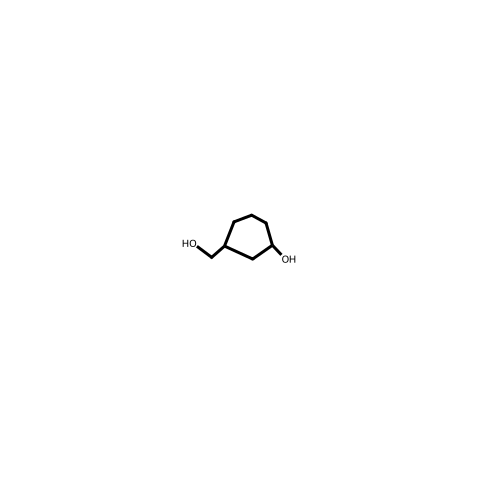 OCC1CCCC(O)C1